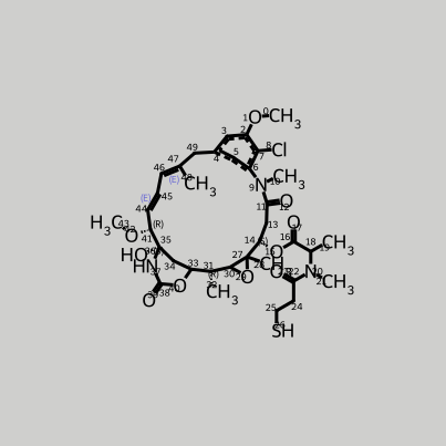 COc1cc2cc(c1Cl)N(C)C(=O)C[C@H](OC(=O)C(C)N(C)C(=O)CCS)C1(C)OC1[C@H](C)C1C[C@@](O)(NC(=O)O1)[C@H](OC)/C=C/C=C(\C)C2